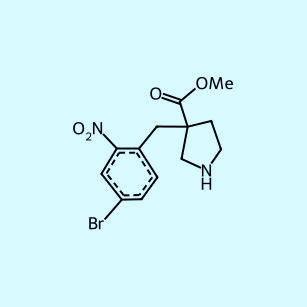 COC(=O)C1(Cc2ccc(Br)cc2[N+](=O)[O-])CCNC1